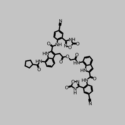 N#Cc1ccc(NC(=O)c2cc3cccc(NC(=O)COC(=O)Cc4c(C(=O)Nc5ccc(C#N)cc5-c5noc(=O)[nH]5)[nH]c5c(NC(=O)C6CCCC6)cccc45)c3[nH]2)c(-c2noc(=O)[nH]2)c1